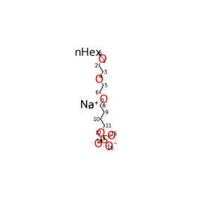 CCCCCCOCCOCCOCCCCOS(=O)(=O)[O-].[Na+]